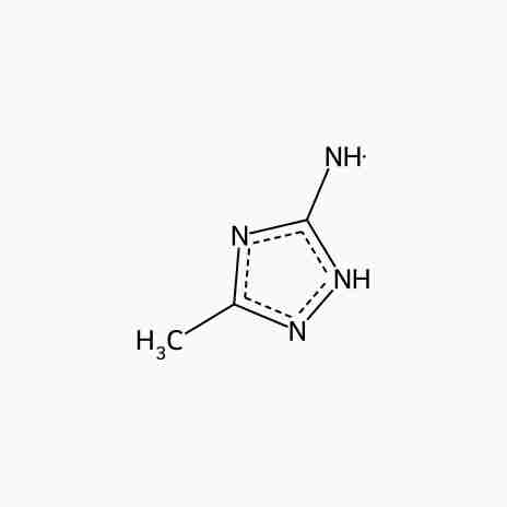 Cc1n[nH]c([NH])n1